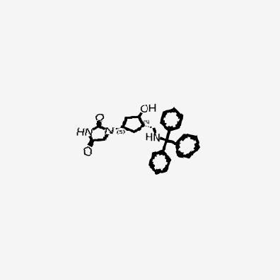 O=C1CN([C@@H]2CC(O)[C@H](CNC(c3ccccc3)(c3ccccc3)c3ccccc3)C2)C(=O)N1